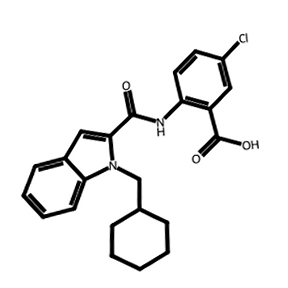 O=C(O)c1cc(Cl)ccc1NC(=O)c1cc2ccccc2n1CC1CCCCC1